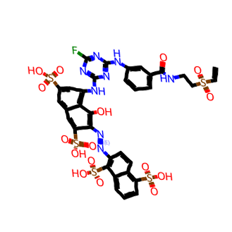 C=CS(=O)(=O)CCNC(=O)c1cccc(Nc2nc(F)nc(Nc3cc(S(=O)(=O)O)cc4cc(S(=O)(=O)O)c(/N=N/c5ccc6c(S(=O)(=O)O)cccc6c5S(=O)(=O)O)c(O)c34)n2)c1